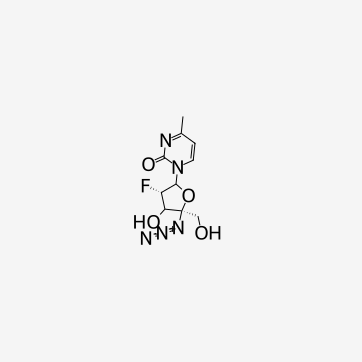 Cc1ccn(C2O[C@@](CO)(N=[N+]=[N-])C(O)[C@@H]2F)c(=O)n1